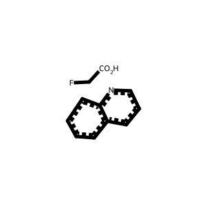 O=C(O)CF.c1ccc2ncccc2c1